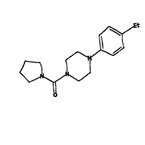 CCc1ccc(N2CCN(C(=O)N3CCCC3)CC2)cc1